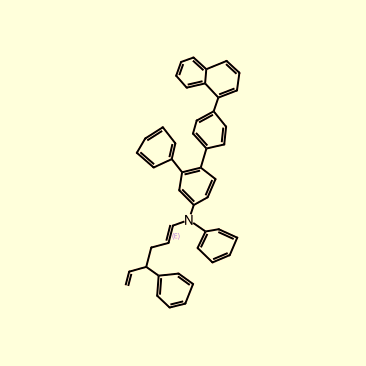 C=CC(C/C=C/N(c1ccccc1)c1ccc(-c2ccc(-c3cccc4ccccc34)cc2)c(-c2ccccc2)c1)c1ccccc1